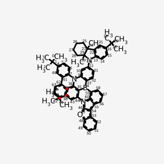 CC(C)(C)c1ccc(N2c3cc(N4c5ccc(C(C)(C)C)cc5C5(C)CCCCC45C)ccc3B3c4c2cc(C(C)(C)C)cc4-n2c4oc5ccccc5c4c4cccc3c42)c(-c2ccccc2)c1